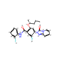 CCC[C@H](C)Oc1cc(-n2nc3ccccn3c2=O)c(F)cc1C(=O)Nc1ccccc1F